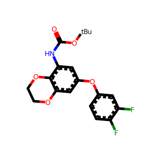 CC(C)(C)OC(=O)Nc1cc(Oc2ccc(F)c(F)c2)cc2c1OCCO2